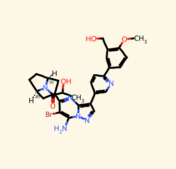 COc1ccc(-c2ccc(-c3cnn4c(N)c(Br)c(C5C[C@H]6CC[C@@H](C5)N6C(=O)C(C)O)nc34)cn2)cc1CO